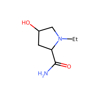 CCN1CC(O)CC1C(N)=O